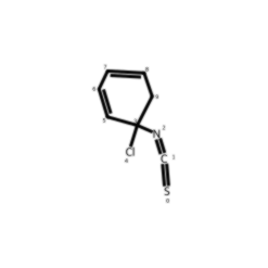 S=C=NC1(Cl)C=CC=CC1